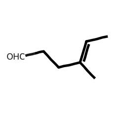 CC=C(C)CCC=O